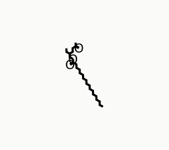 CCCCCCCCCCCCCCCCCC(=O)OCC(CC)CCC(C)=O